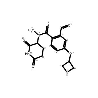 CN(C(=O)c1ccc(OC2CNC2)cc1C=O)C1CCC(=O)NC1=O